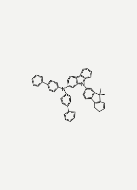 CC1(C)C2=C(CCC=C2)c2ccc(-n3c4ccccc4c4ccc(N(c5ccc(-c6ccccc6)cc5)c5ccc(-c6ccccc6)cc5)cc43)cc21